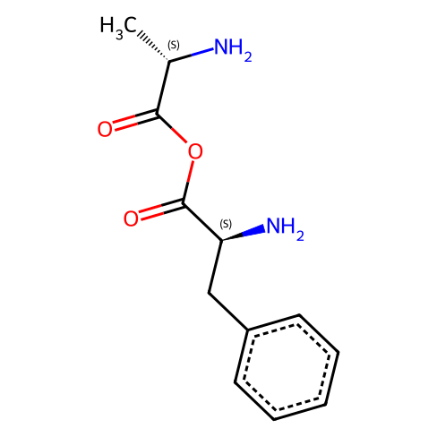 C[C@H](N)C(=O)OC(=O)[C@@H](N)Cc1ccccc1